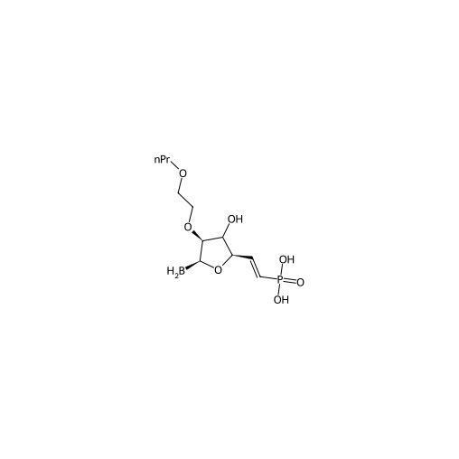 B[C@@H]1O[C@H](/C=C/P(=O)(O)O)C(O)[C@@H]1OCCOCCC